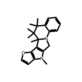 Cn1c2c(c3occc31)C1(C)N(C2)c2ccccc2C(C)(C)C1(C)C